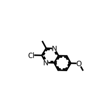 COc1ccc2nc(Cl)c(C)nc2c1